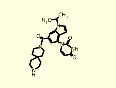 CC(C)n1ccc2c(-n3ccc(=O)[nH]c3=O)cc(C(=O)N3CCC4(CCNCC4)CC3)cc21